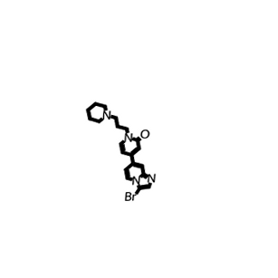 O=c1cc(-c2ccn3c(Br)cnc3c2)ccn1CCCN1CCCCC1